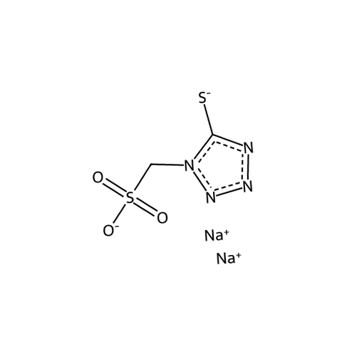 O=S(=O)([O-])Cn1nnnc1[S-].[Na+].[Na+]